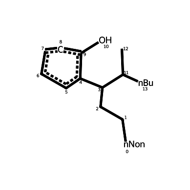 CCCCCCCCCCCC(c1ccccc1O)C(C)CCCC